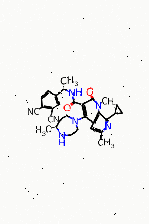 Cc1cc2c(N3CCN[C@@H](C)CC3)c(C(=O)N[C@@H](C)c3ccc(C#N)c(C#N)c3)c(=O)n(C)c2c(C2CC2)n1